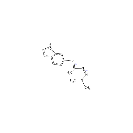 CC(=C\c1ccc2cc[nH]c2c1)/N=N\N(C)C